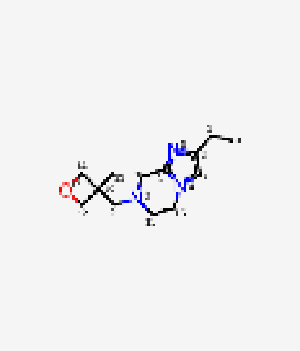 CCc1cn2c(n1)CN(CC1(C)COC1)CC2